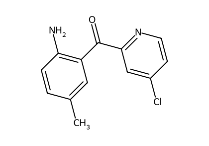 Cc1ccc(N)c(C(=O)c2cc(Cl)ccn2)c1